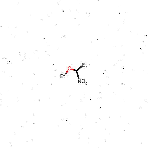 CCOC(CC)[N+](=O)[O-]